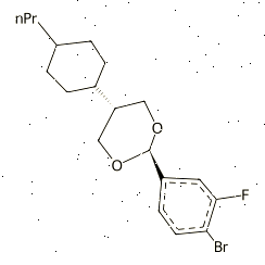 CCCC1CCC([C@H]2CO[C@H](c3ccc(Br)c(F)c3)OC2)CC1